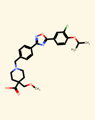 COCC1(C(=O)O)CCN(Cc2ccc(-c3noc(-c4ccc(OC(C)C)c(Cl)c4)n3)cc2)CC1